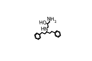 NCC(O)CNC(CCc1ccccc1)CCc1ccccc1